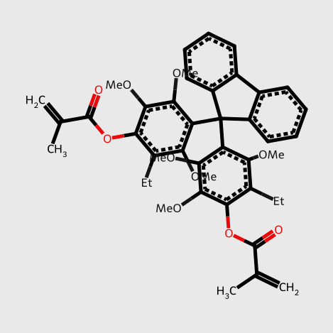 C=C(C)C(=O)Oc1c(CC)c(OC)c(C2(c3c(OC)c(CC)c(OC(=O)C(=C)C)c(OC)c3OC)c3ccccc3-c3ccccc32)c(OC)c1OC